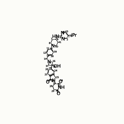 CC(C)c1cnc(NC2CCN(c3ccc(CN4CC(O)(c5ccc6c(c5)CN(C5CCC(=O)NC5=O)C6=O)C4)cc3)CC2)nc1